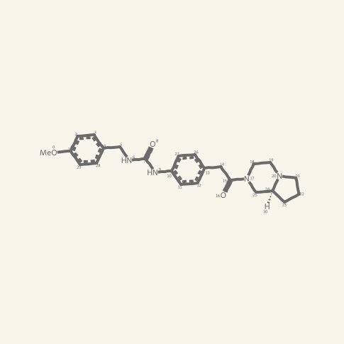 COc1ccc(CNC(=O)Nc2ccc(CC(=O)N3CCN4CCC[C@H]4C3)cc2)cc1